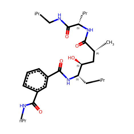 CCCNC(=O)c1cccc(C(=O)N[C@@H](CC(C)C)[C@@H](O)C[C@@H](C)C(=O)N[C@H](C(=O)NCC(C)C)C(C)C)c1